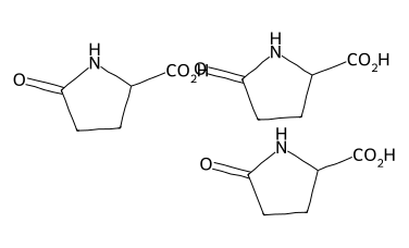 O=C1CCC(C(=O)O)N1.O=C1CCC(C(=O)O)N1.O=C1CCC(C(=O)O)N1